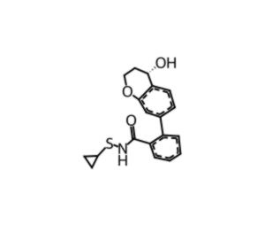 O=C(NSC1CC1)c1ccccc1-c1ccc2c(c1)OCC[C@@H]2O